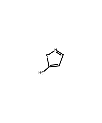 Sc1ccns1